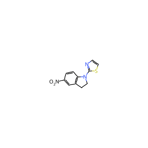 O=[N+]([O-])c1ccc2c(c1)CCN2c1nccs1